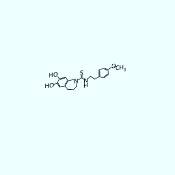 COc1ccc(CCNC(=S)N2CCCc3cc(O)c(O)cc3C2)cc1